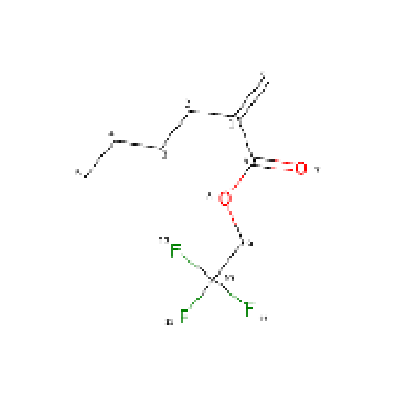 C=C(CCCC)C(=O)OCC(F)(F)F